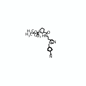 CC(C)(C)OC(=O)N1CCCC(C(=O)NCCc2cncn2Cc2ccc(C#N)cc2)C1